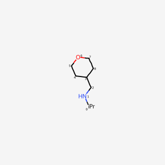 CC(C)NCC1CCOCC1